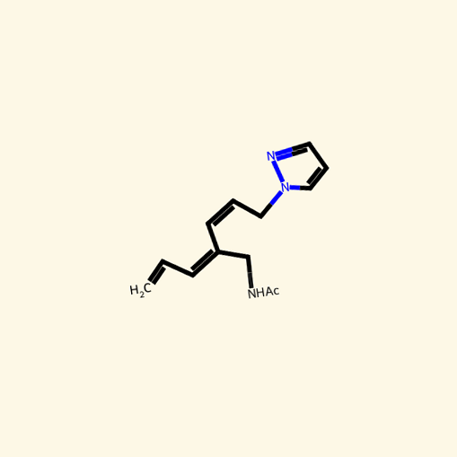 C=C/C=C(\C=C/Cn1cccn1)CNC(C)=O